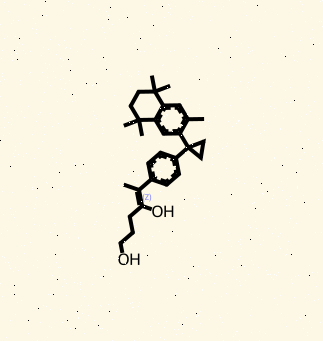 C/C(=C(/O)CCCO)c1ccc(C2(c3cc4c(cc3C)C(C)(C)CCC4(C)C)CC2)cc1